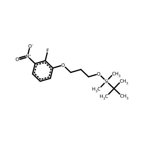 CC(C)(C)[Si](C)(C)OCCCOc1cccc([N+](=O)[O-])c1F